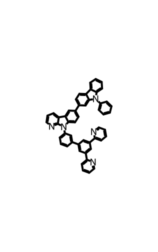 c1ccc(-n2c3ccccc3c3ccc(-c4ccc5c(c4)c4cccnc4n5-c4cccc(-c5cc(-c6ccccn6)cc(-c6ccccn6)c5)c4)cc32)cc1